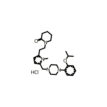 CC(C)Oc1ccccc1N1CCN(Cc2ccc(CCN3CCCCC3=O)n2C)CC1.Cl